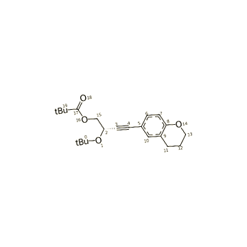 CC(C)(C)O[C@@H](C#Cc1ccc2c(c1)CCCO2)COC(=O)C(C)(C)C